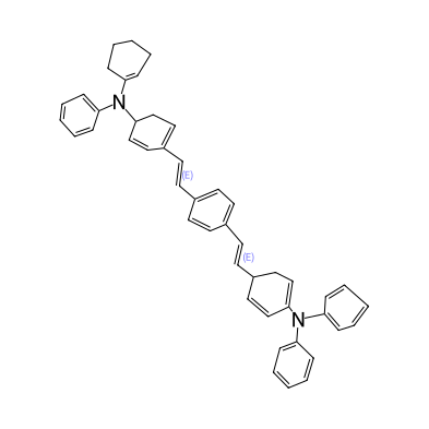 C1=CC(N(C2=CCCCC2)c2ccccc2)CC=C1/C=C/c1ccc(/C=C/C2C=CC(N(c3ccccc3)c3ccccc3)=CC2)cc1